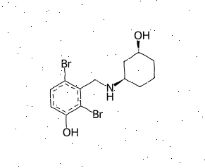 Oc1ccc(Br)c(CN[C@@H]2CCC[C@H](O)C2)c1Br